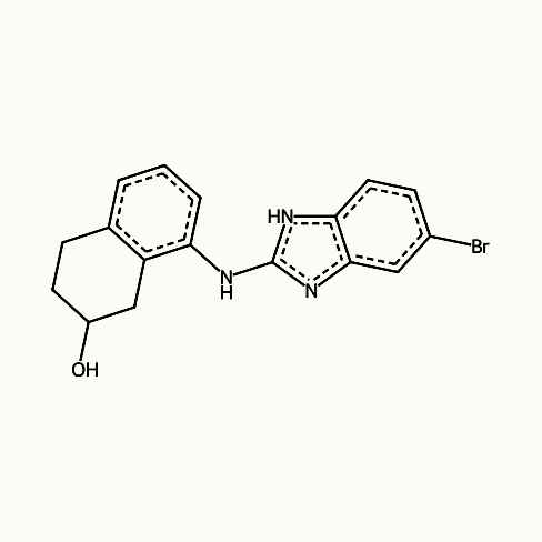 OC1CCc2cccc(Nc3nc4cc(Br)ccc4[nH]3)c2C1